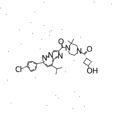 CC(C)c1cc(-c2ccc(Cl)cc2)nn2cc(C(=O)N3CCN(C(=O)[C@H]4C[C@H](O)C4)CC3(C)C)nc12